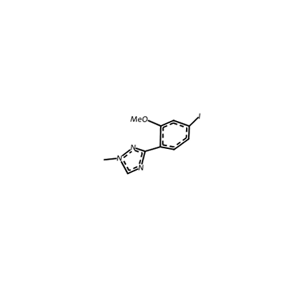 COc1cc(I)ccc1-c1ncn(C)n1